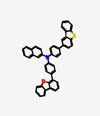 c1ccc2cc(N(c3ccc(-c4ccc5sc6ccccc6c5c4)cc3)c3ccc(-c4cccc5c4oc4ccccc45)cc3)ccc2c1